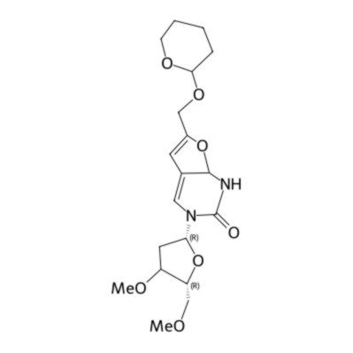 COC[C@H]1O[C@@H](N2C=C3C=C(COC4CCCCO4)OC3NC2=O)CC1OC